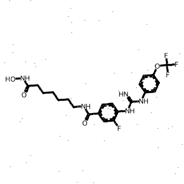 N=C(Nc1ccc(OC(F)(F)F)cc1)Nc1ccc(C(=O)NCCCCCCC(=O)NO)cc1F